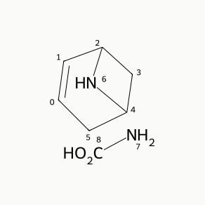 C1=CC2CC(C1)N2.NC(=O)O